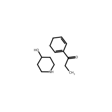 CCC(=O)C1=C[C][C]C=C1.OC1CCNCC1